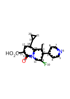 Cc1c(-c2ccncc2)c(F)cn2c(=O)c(C(=O)O)cc(C3CC3)c12